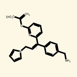 C=C(Oc1cccc(/C(=C\Cn2cccc2)c2ccc(CN)cc2)n1)C(=O)OCC